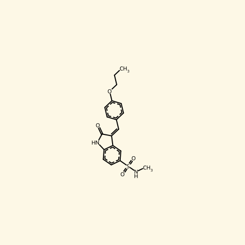 CCCOc1ccc(C=C2C(=O)Nc3ccc(S(=O)(=O)NC)cc32)cc1